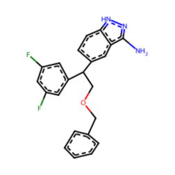 Nc1n[nH]c2ccc(C(COCc3ccccc3)c3cc(F)cc(F)c3)cc12